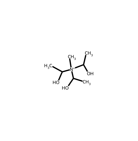 CC(O)[N+](C)(C(C)O)C(C)O